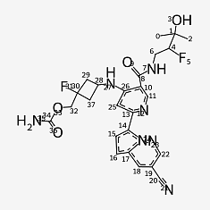 CC(C)(O)C(F)CNC(=O)c1cnc(-c2ccc3cc(C#N)cnn23)cc1NC1CC(F)(COC(N)=O)C1